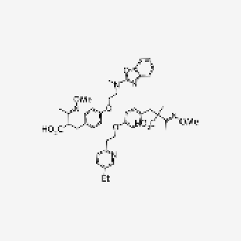 CCc1ccc(CCOc2ccc(CC(C)(C(=O)O)C(C)=NOC)cc2)nc1.CON=C(C)C(Cc1ccc(OCCN(C)c2nc3ccccc3o2)cc1)C(=O)O